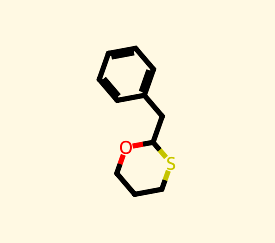 c1ccc(CC2OCCCS2)cc1